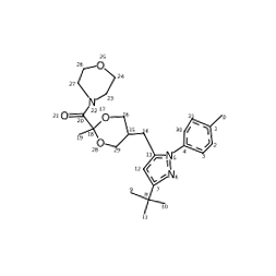 Cc1ccc(-n2nc(C(C)(C)C)cc2CC2COC(C)(C(=O)N3CCOCC3)OC2)cc1